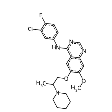 COc1cc2ncnc(Nc3ccc(F)c(Cl)c3)c2cc1OCC(C)N1CCCCC1